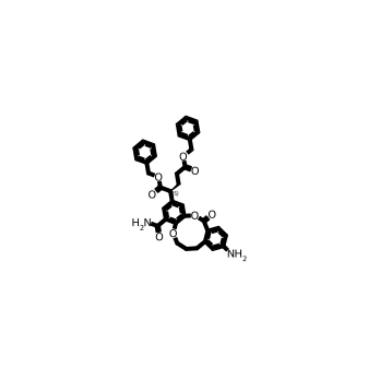 NC(=O)c1cc([C@H](CCC(=O)OCc2ccccc2)C(=O)OCc2ccccc2)cc2c1OCCCc1cc(N)ccc1C(=O)O2